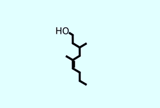 CCCC=C(C)CC(C)CCO